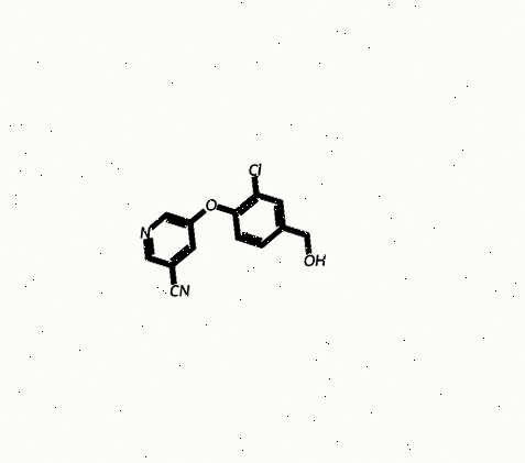 N#Cc1cncc(Oc2ccc(CO)cc2Cl)c1